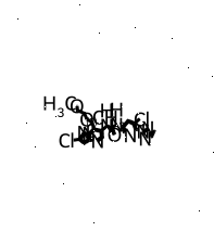 COCCO[C@@H](C)c1c(NC(=O)Nc2cnc(-n3nccn3)c(Cl)c2)cnc2cc(Cl)nn12